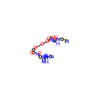 Cc1ncsc1-c1ccc(CNC(=O)[C@@H]2CCCN2C(=O)/C(=N/C(=O)COCCCOCCCCCOc2ccc3c(c2)C(/C=N/C(=O)c2cccc(NC4(c5nnc(-c6ccncc6)[nH]5)CCN(C)CC4)c2)CCO3)C(C)(C)C)cc1